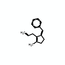 C=CCC1=C(C)CCC1=Cc1ccccc1